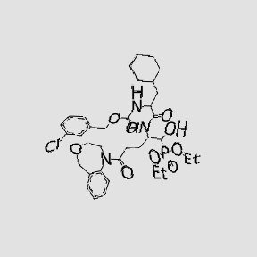 CCOP(=O)(OCC)C(O)C(CCC(=O)N1CCOCc2ccccc21)NC(=O)C(CC1CCCCC1)NC(=O)OCc1cccc(Cl)c1